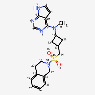 CN(c1ncnc2[nH]ccc12)C1CC(CS(=O)(=O)N2CCc3ccccc3C2)C1